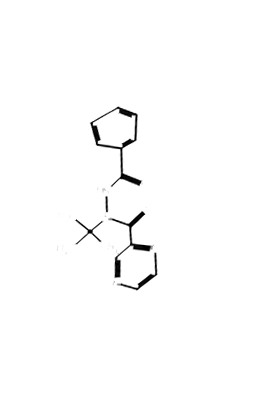 CC(C)(C)N(NC(=O)c1ccccc1)C(=O)c1cnccn1